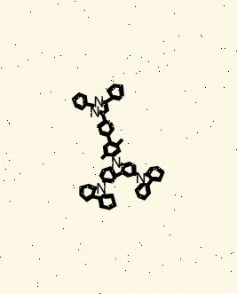 Cc1cc(-n2c3ccc(-n4c5ccccc5c5ccccc54)cc3c3cc(-n4c5ccccc5c5ccccc54)ccc32)c(C)cc1-c1ccc(-c2cc(-c3ccccc3)nc(-c3ccccc3)n2)cc1